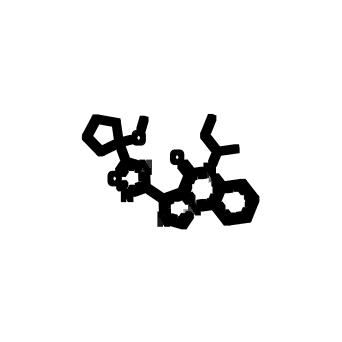 CCC(C)n1c(=O)c2c(-c3noc(C4(OC)CCCC4)n3)ncn2c2ccccc21